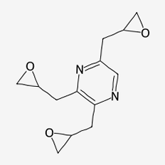 c1nc(CC2CO2)c(CC2CO2)nc1CC1CO1